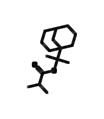 CC(C)C(=O)OC(C)(C)C12CCCC(CCC1)C2